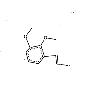 [CH2]/C=C/c1cccc(OC)c1OC